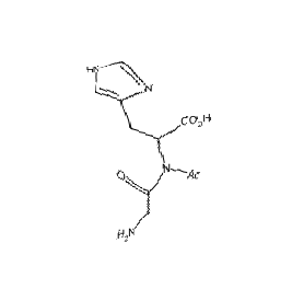 CC(=O)N(C(=O)CN)C(Cc1c[nH]cn1)C(=O)O